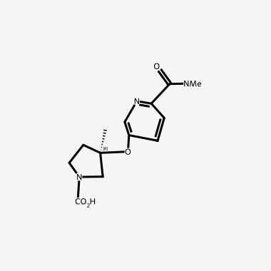 CNC(=O)c1ccc(O[C@]2(C)CCN(C(=O)O)C2)cn1